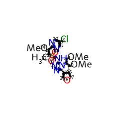 COCC(COC)n1c(NS(=O)(=O)C(C)C(OC)c2ncc(Cl)cn2)nnc1[C@@H]1CCOC1